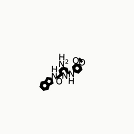 Nc1cc(Nc2ccc3c(c2)OCO3)nc(C(=O)NC2Cc3ccccc3C2)c1